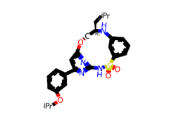 CC(C)C[C@@H]1COc2cc(-c3cccc(OC(C)C)c3)nc(n2)NS(=O)(=O)c2cccc(c2)N1